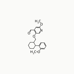 COc1cc(C=O)c(OCC2CCCCC2c2ccccc2OC)cn1